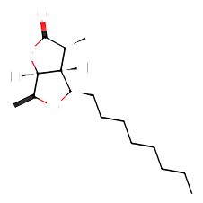 C=C1O[C@H](CCCCCCCC)[C@H]2[C@H](C)C(=O)O[C@@H]12